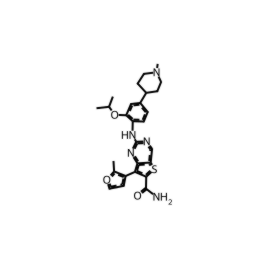 Cc1occc1-c1c(C(N)=O)sc2cnc(Nc3ccc(C4CCN(C)CC4)cc3OC(C)C)nc12